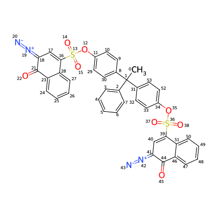 CC(c1ccccc1)(c1ccc(OS(=O)(=O)C2=CC(=[N+]=[N-])C(=O)c3ccccc32)cc1)c1ccc(OS(=O)(=O)C2=CC(=[N+]=[N-])C(=O)c3ccccc32)cc1